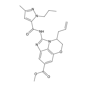 C=CCC1COc2cc(C(=O)OC)cc3nc(NC(=O)c4cc(C)nn4CCC)n1c23